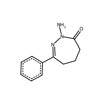 NN1N=C(c2ccccc2)CCCC1=O